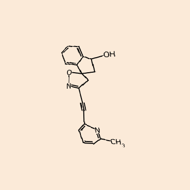 Cc1cccc(C#CC2=NOC3(C2)CC(O)c2ccccc23)n1